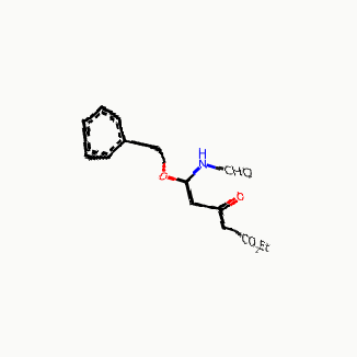 CCOC(=O)CC(=O)CC(NC=O)OCc1ccccc1